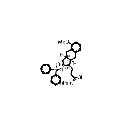 CCCCC[C@H](O)CC[C@@H]1[C@H]2Cc3cccc(OC)c3C[C@H]2C[C@H]1O[Si](c1ccccc1)(c1ccccc1)C(C)(C)C